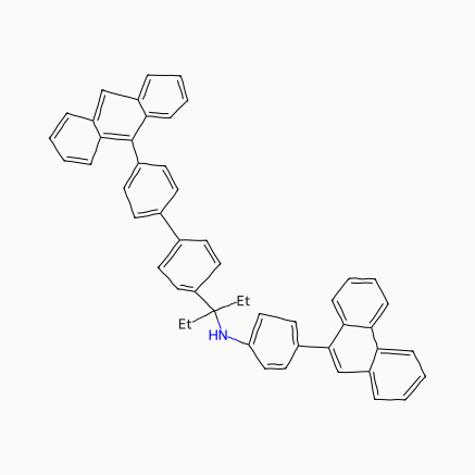 CCC(CC)(Nc1ccc(-c2cc3ccccc3c3ccccc23)cc1)c1ccc(-c2ccc(-c3c4ccccc4cc4ccccc34)cc2)cc1